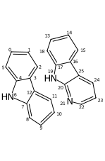 c1ccc2c(c1)[nH]c1ccccc12.c1ccc2c(c1)[nH]c1ncccc12